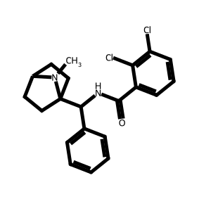 CN1C2CCC1(C(NC(=O)c1cccc(Cl)c1Cl)c1ccccc1)CC2